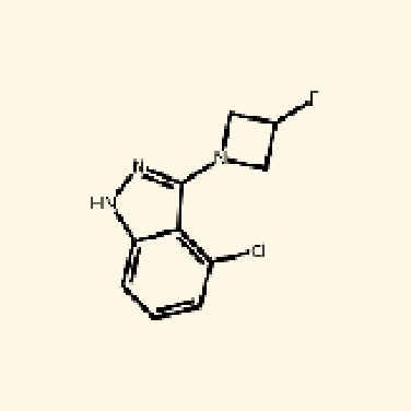 FC1CN(c2n[nH]c3cccc(Cl)c23)C1